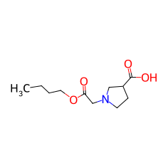 CCCCOC(=O)CN1CCC(C(=O)O)C1